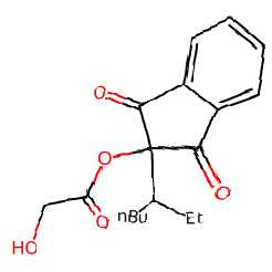 CCCCC(CC)C1(OC(=O)CO)C(=O)c2ccccc2C1=O